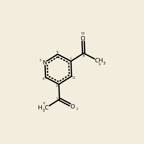 CC(=O)c1[c]ncc(C(C)=O)c1